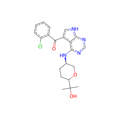 CC(C)(O)C1CC[C@@H](Nc2ncnc3[nH]cc(C(=O)c4ccccc4Cl)c23)CO1